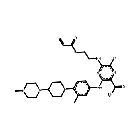 C=CC(=O)NCCNc1nc(Nc2ccc(N3CCC(N4CCN(C)CC4)CC3)c(C)c2)c(C(N)=O)nc1CC